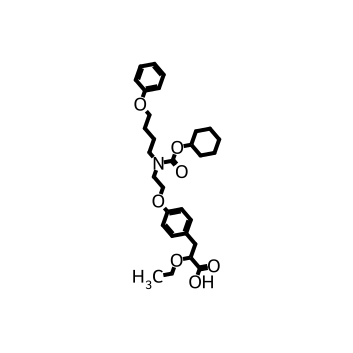 CCOC(Cc1ccc(OCCN(CCCCOc2ccccc2)C(=O)OC2CCCCC2)cc1)C(=O)O